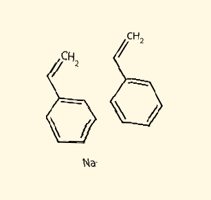 C=Cc1ccccc1.C=Cc1ccccc1.[Na]